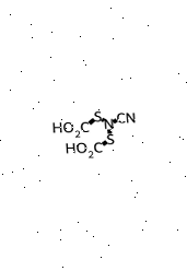 N#CN(SC(=O)O)SC(=O)O